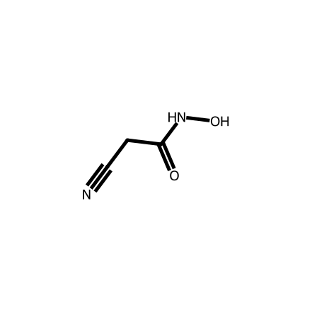 N#CCC(=O)NO